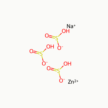 O=S([O-])O.O=S([O-])O.O=S([O-])O.[Na+].[Zn+2]